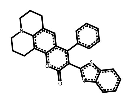 O=c1oc2c3c4c(cc2c(-c2ccccc2)c1-c1nc2ccccc2s1)CCCN4CCC3